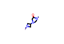 CN1CCN(C2CN(I)C2)CC1=O